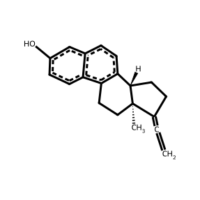 C=C=C1CC[C@H]2c3ccc4cc(O)ccc4c3CC[C@]12C